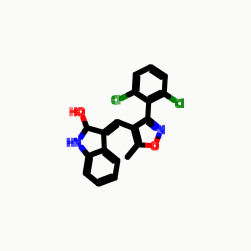 Cc1onc(-c2c(Cl)cccc2Cl)c1/C=C1\c2ccccc2NC1O